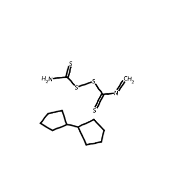 C1CCC(C2CCCC2)C1.C=NC(=S)SSC(N)=S